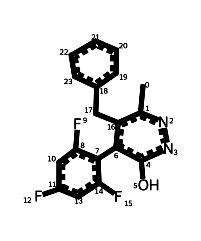 Cc1nnc(O)c(-c2c(F)cc(F)cc2F)c1Cc1ccccc1